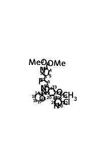 COC(OC)c1ccc(/C(F)=C/c2nn(C3CCCCO3)c3ccc(O[C@H](C)c4ccncc4Cl)cc23)cn1